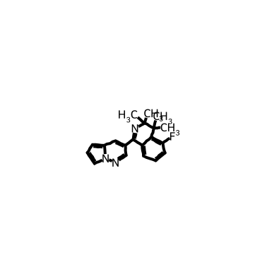 CC1(C)N=C(c2cnn3cccc3c2)c2cccc(F)c2C1(C)C